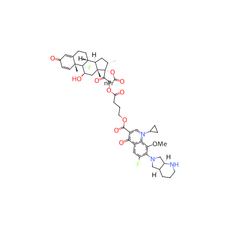 CCCC(=O)O[C@@]1(C(=O)COC(=O)CCCOC(=O)c2cn(C3CC3)c3c(OC)c(N4C[C@@H]5CCCN[C@@H]5C4)c(F)cc3c2=O)[C@@H](C)C[C@@H]2[C@H]3CCC4=CC(=O)C=C[C@@]4(C)[C@]3(F)[C@H](O)C[C@]21C